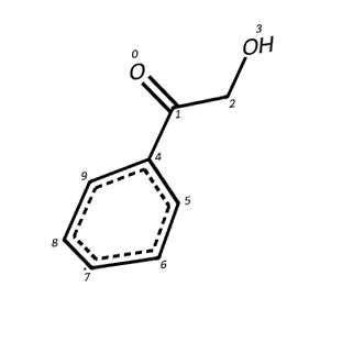 O=C(CO)c1cc[c]cc1